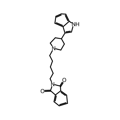 O=C1c2ccccc2C(=O)N1CCCCCN1CCC(c2c[nH]c3ccccc23)CC1